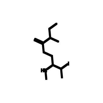 C=C(CCC(NC)C(C)I)C(C)CC